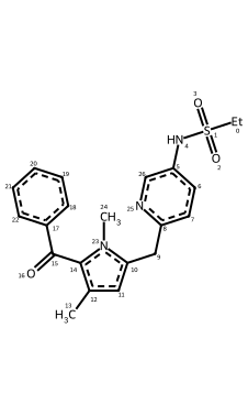 CCS(=O)(=O)Nc1ccc(Cc2cc(C)c(C(=O)c3ccccc3)n2C)nc1